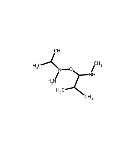 CNC(ON(N)C(C)C)C(C)C